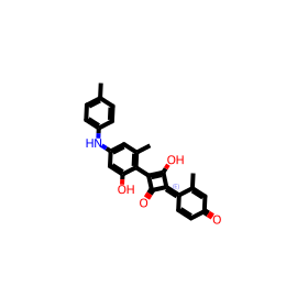 CC1=CC(=O)C=C/C1=C1\C(=O)C(c2c(C)cc(Nc3ccc(C)cc3)cc2O)=C1O